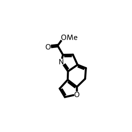 COC(=O)C1=CC2=CCc3occc3C2=N1